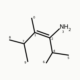 C/C(=C(\N)C(C)C)C(C)C